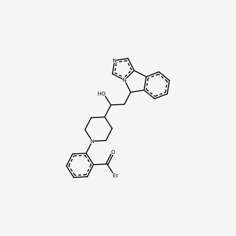 CCC(=O)c1ccccc1N1CCC(C(O)CC2c3ccccc3-c3cncn32)CC1